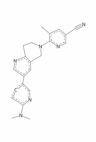 Cc1cc(C#N)cnc1N1CCc2ncc(-c3ccc(N(C)C)nc3)cc2C1